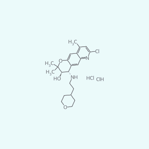 Cc1cc(Cl)nc2cc3c(cc12)OC(C)(C)[C@H](O)[C@H]3NCCC1CCOCC1.Cl.Cl